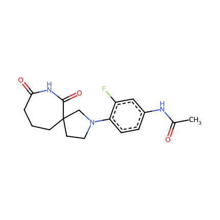 CC(=O)Nc1ccc(N2CCC3(CCCC(=O)NC3=O)C2)c(F)c1